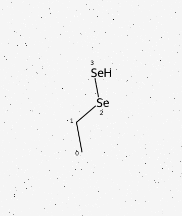 CC[Se][SeH]